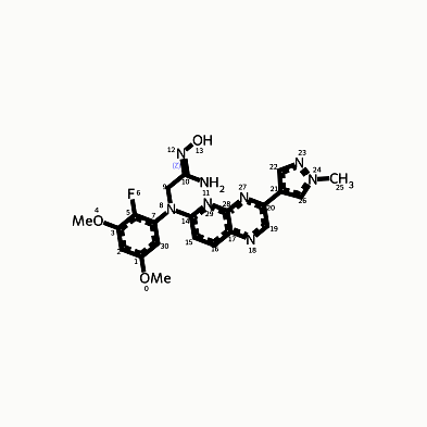 COc1cc(OC)c(F)c(N(C/C(N)=N/O)c2ccc3ncc(-c4cnn(C)c4)nc3n2)c1